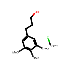 CCCCCCl.COc1cc(CCCO)cc(OC)c1OC